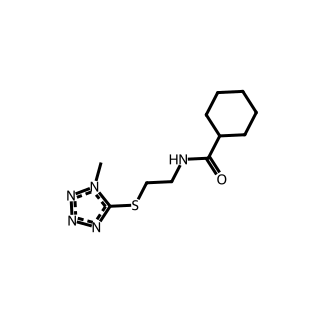 Cn1nnnc1SCCNC(=O)C1CCCCC1